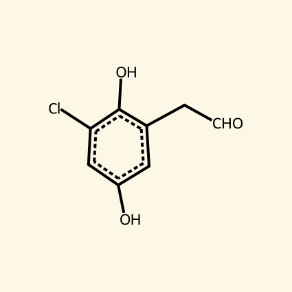 O=CCc1cc(O)cc(Cl)c1O